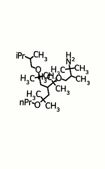 CCCOC(C)(C)CC(CC(C)(C)OCC(C)C(C)C)C(C)(C)OCC(C)C(C)(C)N